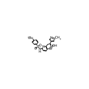 Cn1cc(/C(Cc2nc(NS(=O)(=O)c3ccc(C(C)(C)C)cc3)ccc2Br)=N\O)cn1